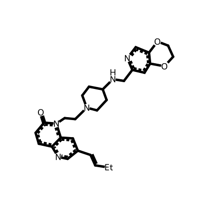 CC/C=C/c1cnc2ccc(=O)n(CCN3CCC(NCc4cc5c(cn4)OCCO5)CC3)c2c1